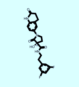 O=C1CCc2cc(N3CC[C@](O)(C(=O)NCCc4cc(F)cc(F)c4)C3=O)ccc2N1